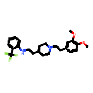 COc1ccc(CCN2CCC(CCNc3ccccc3C(F)(F)F)CC2)cc1OC